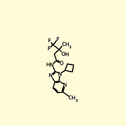 Cc1ccc2nc(NC(=O)CC(C)(O)C(F)(F)F)n(C3CCC3)c2n1